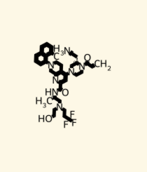 C=CC(=O)N1CCN(c2cc(C(=O)N[C@H](C)CN(CCO)CCC(F)(F)F)nc3c2CCN(c2cccc4cccc(C)c24)C3)C[C@@H]1CC#N